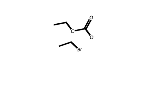 CCBr.CCOC([O])=O